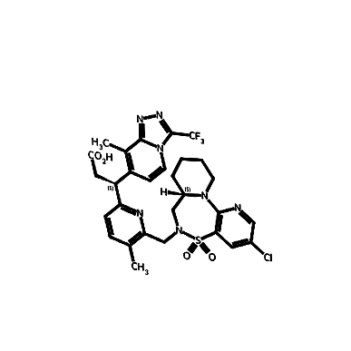 Cc1ccc([C@@H](CC(=O)O)c2ccn3c(C(F)(F)F)nnc3c2C)nc1CN1C[C@@H]2CCCCN2c2ncc(Cl)cc2S1(=O)=O